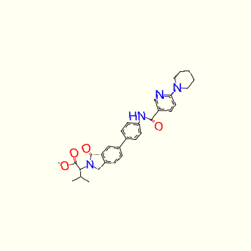 COC(=O)C(C(C)C)N1Cc2ccc(-c3ccc(NC(=O)c4ccc(N5CCCCC5)nc4)cc3)cc2C1=O